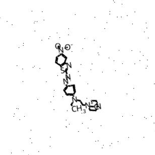 CCN(CC[N+]12CCN(CC1)CC2)c1ccc(N=Nc2nc3cc([N+](=O)[O-])ccc3s2)cc1